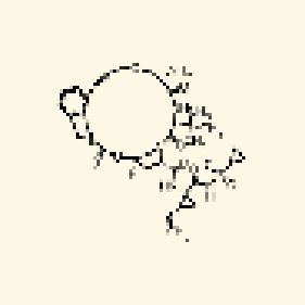 C=C[C@@H]1C[C@]1(NC(=O)[C@@H]1C[C@@H]2CN1C(=O)[C@H](C(C)(C)C)NC(=O)[C@@H](N)COCC=Cc1cccc3c1CN(C3)C(=O)O2)C(=O)NS(=O)(=O)C1CC1